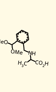 COC(OC)c1ccccc1CNC(C)C(=O)O